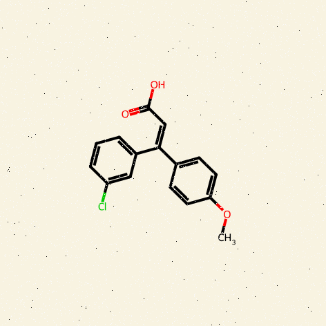 COc1ccc(C(=CC(=O)O)c2cccc(Cl)c2)cc1